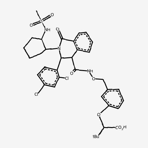 CC(C)(C)C(Oc1cccc(CONC(=O)C2c3ccccc3C(=O)N(C3CCCCC3NS(C)(=O)=O)C2c2ccc(Cl)cc2Cl)c1)C(=O)O